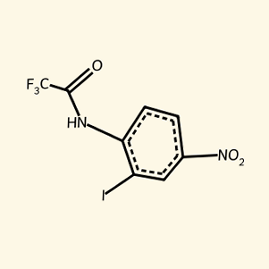 O=C(Nc1ccc([N+](=O)[O-])cc1I)C(F)(F)F